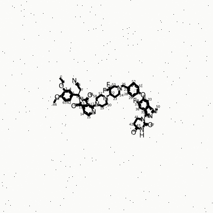 CCOc1cc([C@@H](CC#N)N2C(=O)c3ccnc(N4CCN([C@@H]5CCN(Cc6ccc(Oc7cc8c(cc7F)c(N7CCC(=O)NC7=O)nn8C)cc6)CC5(F)F)CC4)c3C2=O)ccc1OC